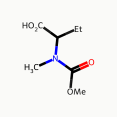 CCC(C(=O)O)N(C)C(=O)OC